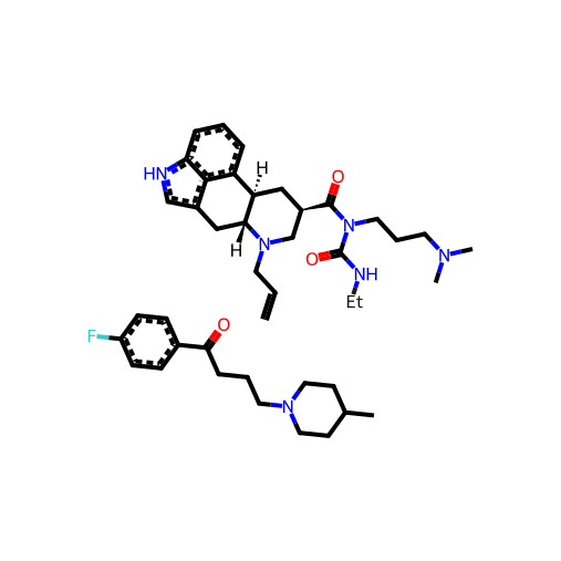 C=CCN1C[C@H](C(=O)N(CCCN(C)C)C(=O)NCC)C[C@@H]2c3cccc4[nH]cc(c34)C[C@H]21.CC1CCN(CCCC(=O)c2ccc(F)cc2)CC1